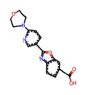 O=C(O)c1ccc2nc(-c3ccc(N4CCOCC4)nc3)oc2c1